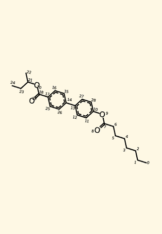 CCCCCCCC(=O)Oc1ccc(-c2ccc(C(=O)OC(C)CC)cc2)cc1